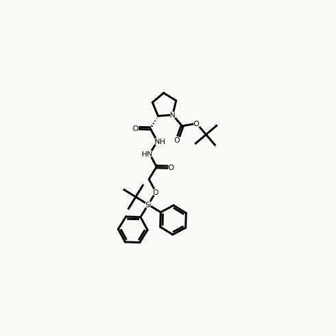 CC(C)(C)OC(=O)N1CCC[C@H]1C(=O)NNC(=O)CO[Si](c1ccccc1)(c1ccccc1)C(C)(C)C